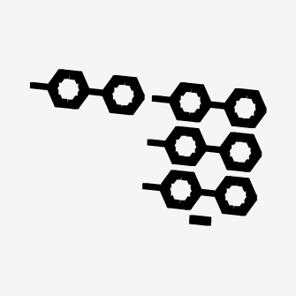 C=C.Cc1ccc(-c2ccccc2)cc1.Cc1ccc(-c2ccccc2)cc1.Cc1ccc(-c2ccccc2)cc1.Cc1ccc(-c2ccccc2)cc1